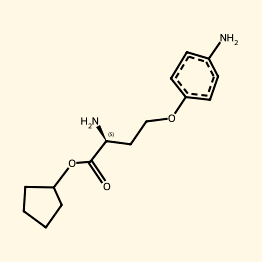 Nc1ccc(OCC[C@H](N)C(=O)OC2CCCC2)cc1